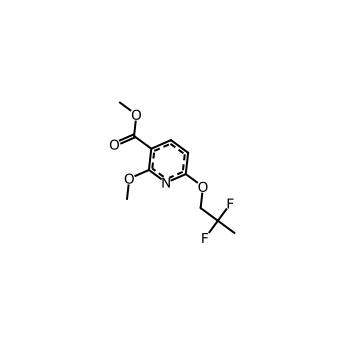 COC(=O)c1ccc(OCC(C)(F)F)nc1OC